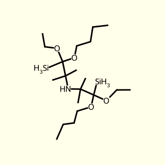 CCCCOC([SiH3])(OCC)C(C)(C)NC(C)(C)C([SiH3])(OCC)OCCCC